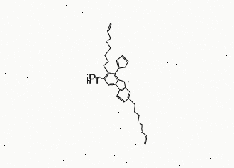 C=CCCCCCCc1ccc2c(c1)[CH]c1c-2cc(C(C)C)c(CCCCCCC=C)c1C1=CC=CC1